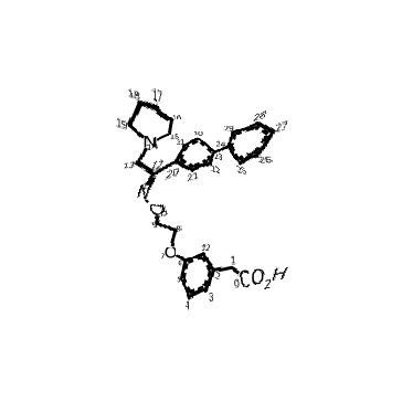 O=C(O)Cc1cccc(OCCON=C(CN2CC=CCC2)c2ccc(-c3ccccc3)cc2)c1